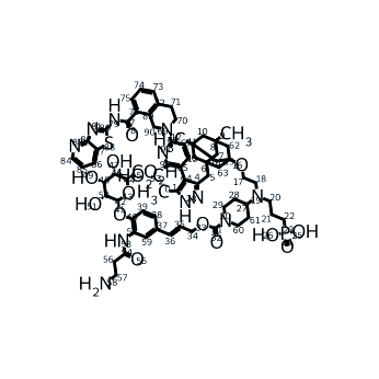 Cc1[nH]nc(CC23CC4(C)CC(C)(C2)CC(OCCN(CCCP(=O)(O)O)C2CCN(C(=O)OC/C=C/c5ccc(O[C@@H]6O[C@H](C(=O)O)[C@@H](O)[C@H](O)[C@H]6O)c(NC(=O)CCN)c5)CC2)(C4)C3)c1-c1ccc(N2CCc3cccc(C(=O)Nc4nc5ncccc5s4)c3C2)nc1C(=O)O